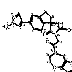 Cn1cc(-c2ccc3c(c2)CCC32NC(=O)N(CC(=O)N3CCOc4ccsc4C3)C2=O)cn1